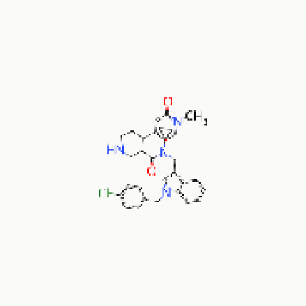 Cn1ccc(C2CCNCC2C(=O)N(Cc2cn(Cc3ccc(Cl)cc3)c3ccccc23)C2CC2)cc1=O